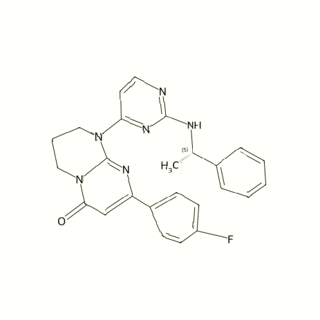 C[C@H](Nc1nccc(N2CCCn3c2nc(-c2ccc(F)cc2)cc3=O)n1)c1ccccc1